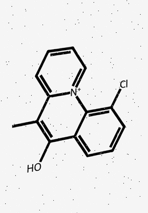 Cc1c(O)c2cccc(Cl)c2[n+]2ccccc12